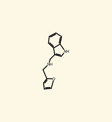 c1coc(CNCc2c[nH]c3ccccc23)c1